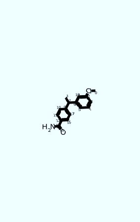 COc1cccc(C(C)c2ccc(C(N)=O)cc2)c1